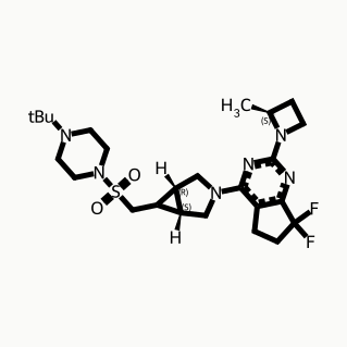 C[C@H]1CCN1c1nc(N2C[C@@H]3C(CS(=O)(=O)N4CCN(C(C)(C)C)CC4)[C@@H]3C2)c2c(n1)C(F)(F)CC2